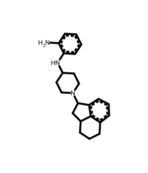 Nc1ccccc1NC1CCN(C2CC3CCCc4cccc2c43)CC1